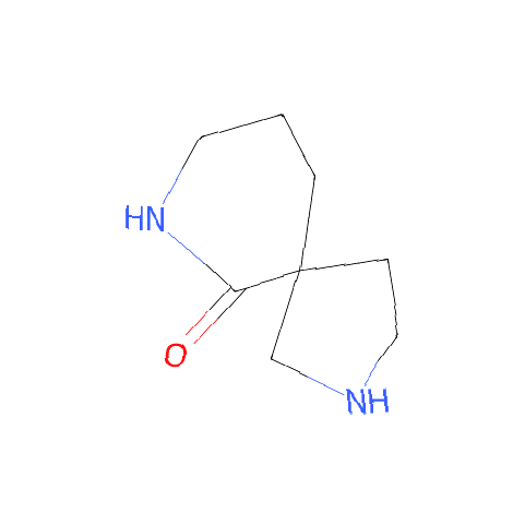 O=C1NCCCC12CCNC2